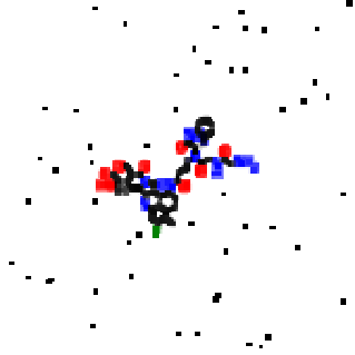 CC[C@@]1(O)C(=O)OCc2c1cc1n(c2=O)Cc2c-1nc1cc(F)c(C)c3c1c2[C@@H](NC(=O)CCCN(C(=O)CNC(=O)CN)[C@@H](Cc1ccccc1)C(N)=O)CC3